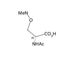 CNOC[C@@H](NC(C)=O)C(=O)O